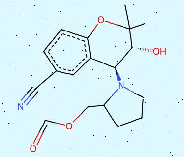 CC1(C)Oc2ccc(C#N)cc2[C@H](N2CCCC2COC=O)[C@H]1O